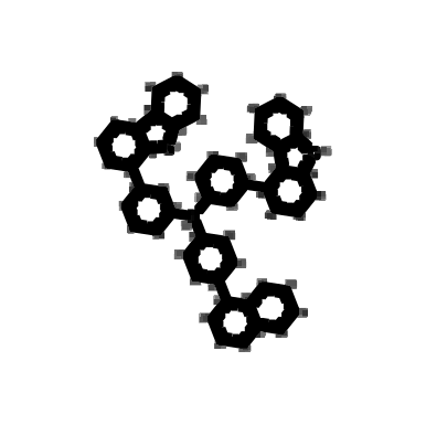 c1cc(-c2cccc3c2sc2ccccc23)cc(N(c2ccc(-c3cccc4ccccc34)cc2)c2cccc(-c3cccc4oc5ccccc5c34)c2)c1